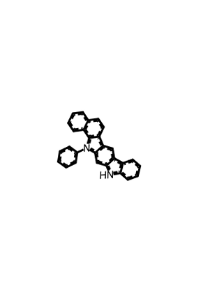 c1ccc(-n2c3cc4[nH]c5ccccc5c4cc3c3ccc4ccccc4c32)cc1